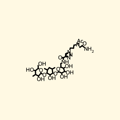 CC(=O)N(CCCn1cc(C(=O)NCC2OC(OC3C(C)CC(C)C(OC4OC(CO)C(O)C(C)C4O)C3O)C(O)C(O)C2O)nn1)CC(N)=O